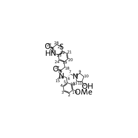 COc1cccc([C@@H](CN2CC[C@@H](O)C2)N(C)C(=O)Cc2ccc3c(c2)NC(=O)CS3)c1